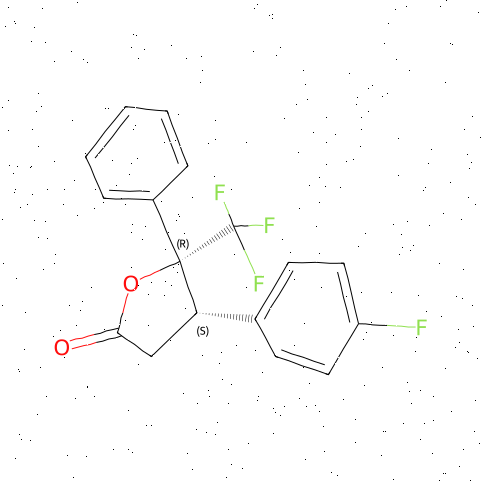 O=C1C[C@@H](c2ccc(F)cc2)[C@@](c2ccccc2)(C(F)(F)F)O1